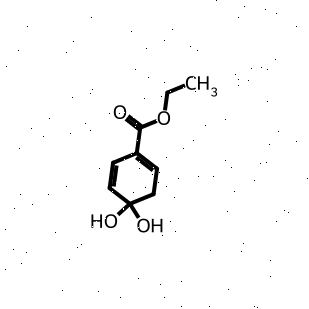 CCOC(=O)C1=CCC(O)(O)C=C1